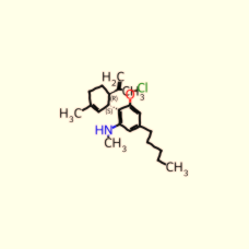 C=C(C)[C@@H]1CCC(C)=C[C@H]1c1c(NC)cc(CCCCC)cc1OCl